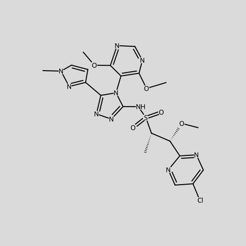 COc1ncnc(OC)c1-n1c(NS(=O)(=O)[C@@H](C)[C@H](OC)c2ncc(Cl)cn2)nnc1-c1ccn(C)n1